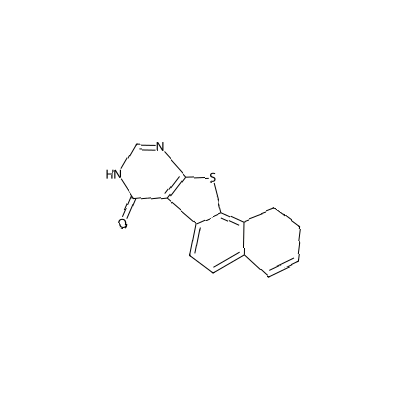 O=c1[nH]cnc2sc3c4c(ccc3c12)C=CCC4